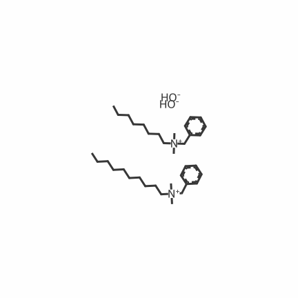 CCCCCCCCCC[N+](C)(C)Cc1ccccc1.CCCCCCCC[N+](C)(C)Cc1ccccc1.[OH-].[OH-]